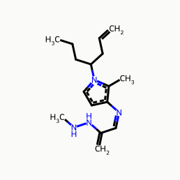 C=CCC(CCC)n1ccc(/N=C\C(=C)NNC)c1C